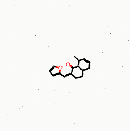 CC1C=CCC2CCC(=Cc3ccco3)C(=O)C12